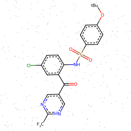 CC(C)(C)Oc1ccc(S(=O)(=O)Nc2ccc(Cl)cc2C(=O)c2cnc(C(F)(F)F)nc2)cc1